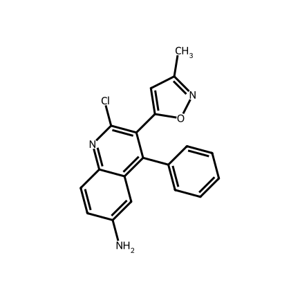 Cc1cc(-c2c(Cl)nc3ccc(N)cc3c2-c2ccccc2)on1